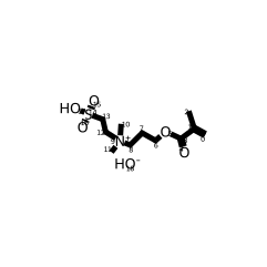 C=C(C)C(=O)OCCC[N+](C)(C)CCS(=O)(=O)O.[OH-]